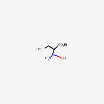 CCOC(=O)C(CC(=O)O)N(N)O